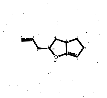 C=CC[C@H]1CC2CCC=C2O1